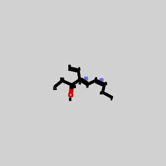 C=C/C(=C\C=C/CC)C(=O)CC